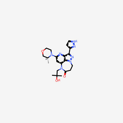 C[C@@H]1COCCN1c1cc2c3c(n1)c(-c1cc[nH]n1)nn3CCC(=O)N2CC(C)(C)O